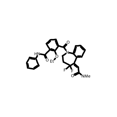 CCOc1c(C(=O)Nc2ccccc2)cccc1C(=O)N1CCC(F)(F)C(=CC(=O)NC)c2ccccc21